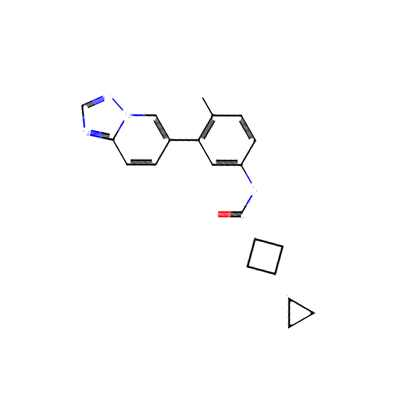 Cc1ccc(NC(=O)[C@H]2C[C@@H](C3CC3)C2)cc1-c1ccc2ncnn2c1